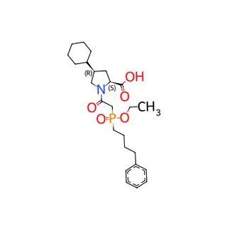 CCOP(=O)(CCCCc1ccccc1)CC(=O)N1C[C@@H](C2CCCCC2)C[C@H]1C(=O)O